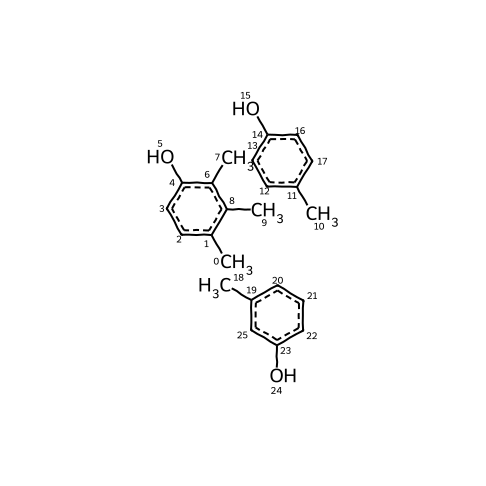 Cc1ccc(O)c(C)c1C.Cc1ccc(O)cc1.Cc1cccc(O)c1